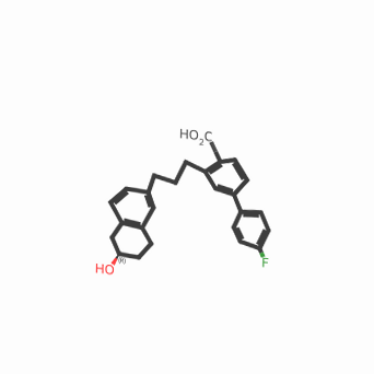 O=C(O)c1ccc(-c2ccc(F)cc2)cc1CCCc1ccc2c(c1)CC[C@@H](O)C2